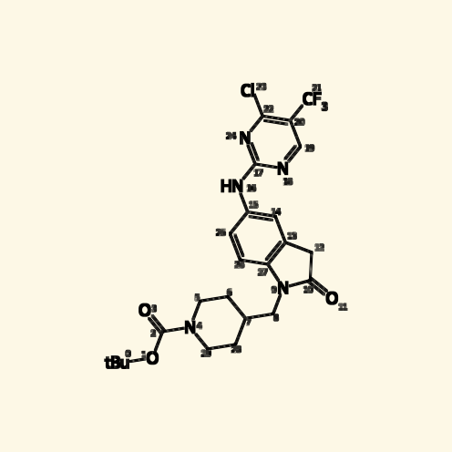 CC(C)(C)OC(=O)N1CCC(CN2C(=O)Cc3cc(Nc4ncc(C(F)(F)F)c(Cl)n4)ccc32)CC1